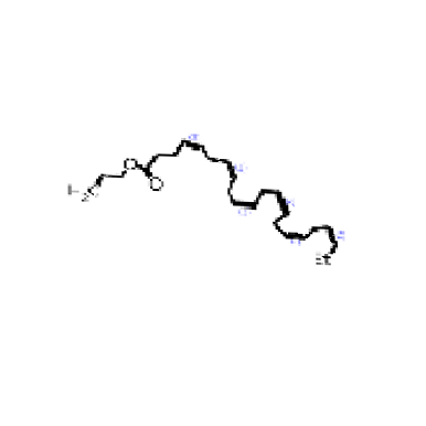 C=CCOC(=O)CC/C=C\C/C=C\C/C=C\C/C=C\C/C=C\C/C=C\CC